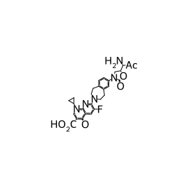 CC(=O)C(N)C1CN(c2ccc3c(c2)CCN(c2nc4c(cc2F)c(=O)c(C(=O)O)cn4C2CC2)CC3)C(=O)O1